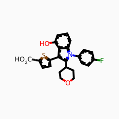 O=C(O)c1ccc(-c2c(C3CCOCC3)n(-c3ccc(F)cc3)c3cccc(O)c23)s1